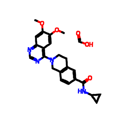 COc1cc2ncnc(N3CCc4cc(C(=O)NC5CC5)ccc4C3)c2cc1OC.O=CO